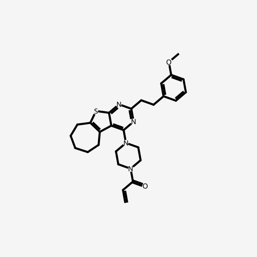 C=CC(=O)N1CCN(c2nc(CCc3cccc(OC)c3)nc3sc4c(c23)CCCCC4)CC1